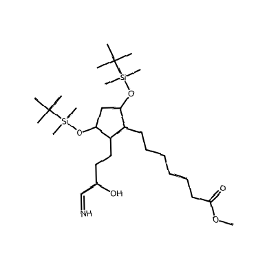 COC(=O)CCCCCCC1C(O[Si](C)(C)C(C)(C)C)CC(O[Si](C)(C)C(C)(C)C)C1CCC(O)C=N